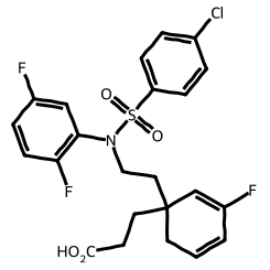 O=C(O)CCC1(CCN(c2cc(F)ccc2F)S(=O)(=O)c2ccc(Cl)cc2)C=C(F)C=CC1